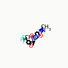 Cc1cn(-c2ccc3n(c2=O)CCN(C[C@@]24C[C@@H]2COc2ccc(C(C)C(F)(F)F)cc24)C3=O)cn1